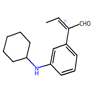 C/C=C(/C=O)c1cccc(NC2CCCCC2)c1